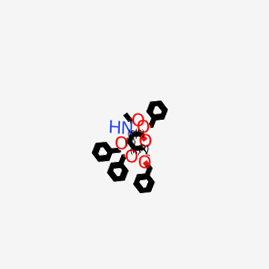 CC(=O)N[C@@H]1[C@@H](OCc2ccccc2)O[C@H](COCc2ccccc2)[C@H](OCc2ccccc2)[C@@H]1OCc1ccccc1